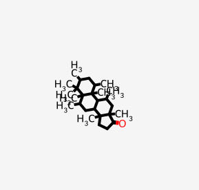 CC1CC2(C)C(=O)CCC2(C)C2CC(C)C3(C)C(C)(C)C(C)CC(C)C3(C)C12